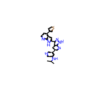 CC(C)Nc1cncc(-c2cnc3[nH]nc(-c4cc5c(-c6ccsc6)ccnc5[nH]4)c3c2)c1